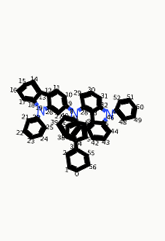 c1ccc(-c2ccc(N(c3ccc4c5ccccc5n(-c5ccccc5)c4c3)c3cccc4c3c3c(-c5ccccc5)cccc3n4-c3ccccc3)cc2)cc1